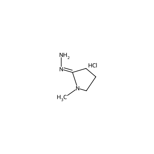 CN1CCCC1=NN.Cl